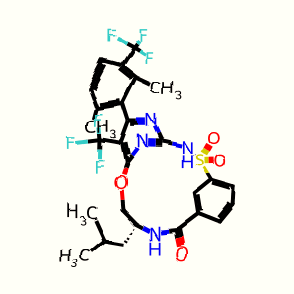 Cc1ccc(C(F)(F)F)c(C)c1-c1nc2nc(c1C(F)(F)F)OC[C@@H](CC(C)C)NC(=O)c1cccc(c1)S(=O)(=O)N2